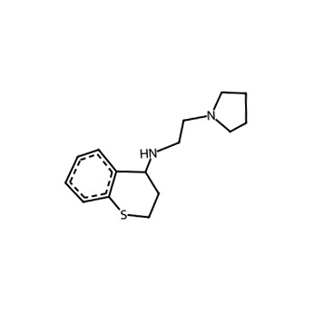 c1ccc2c(c1)SCCC2NCCN1CCCC1